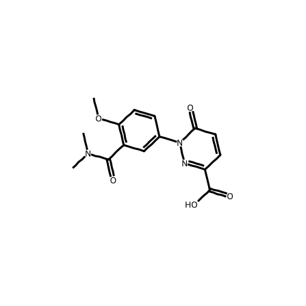 COc1ccc(-n2nc(C(=O)O)ccc2=O)cc1C(=O)N(C)C